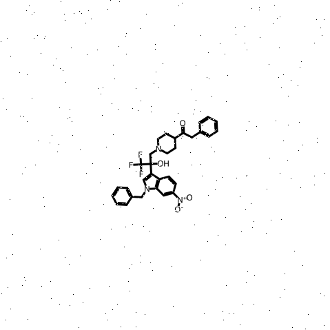 O=C(Cc1ccccc1)C1CCN(CC(O)(c2cn(Cc3ccccc3)c3cc([N+](=O)[O-])ccc23)C(F)(F)F)CC1